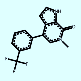 Cn1cc(-c2cccc(C(F)(F)F)c2)c2cc[nH]c2c1=O